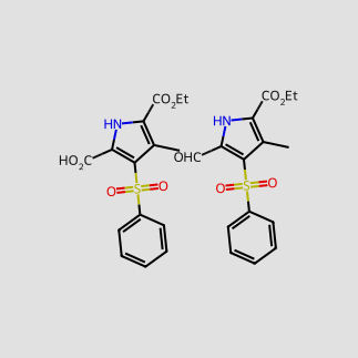 CCOC(=O)c1[nH]c(C(=O)O)c(S(=O)(=O)c2ccccc2)c1C.CCOC(=O)c1[nH]c(C=O)c(S(=O)(=O)c2ccccc2)c1C